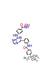 CC(C)(C)c1ccc(C(=O)Nc2cccc(-c3cn4ccnc4c(Nc4ccc(C(=O)NO)cc4)n3)c2)cc1